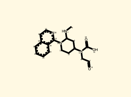 CNC1CC(N(CC=O)C(=O)O)CCN1c1nccc2ccccc12